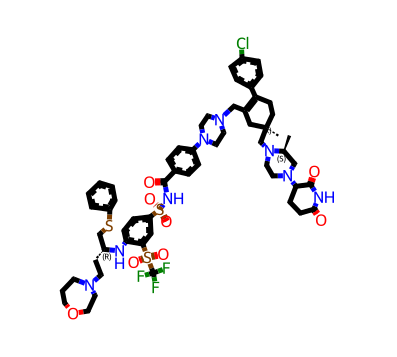 C[C@H]1CN(C2CCC(=O)NC2=O)CCN1C[C@]1(C)CCC(c2ccc(Cl)cc2)=C(CN2CCN(c3ccc(C(=O)NS(=O)(=O)c4ccc(N[C@H](CCN5CCCOCC5)CSc5ccccc5)c(S(=O)(=O)C(F)(F)F)c4)cc3)CC2)C1